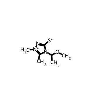 COC(C)n1c([S-])n[n+](C)c1C